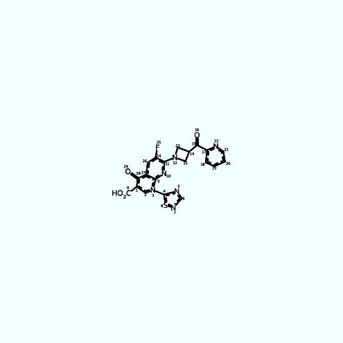 O=C(O)c1cn(-c2ncns2)c2nc(N3CC(C(=O)c4ccccn4)C3)c(F)cc2c1=O